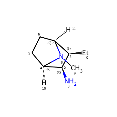 CC[C@H]1[C@@H](N)[C@H]2CC[C@@H]1N2C